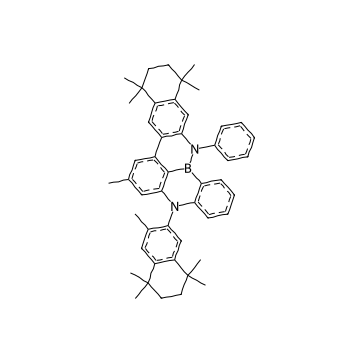 Cc1cc2c3c(c1)N(c1cc4c(cc1C)C(C)(C)CCC4(C)C)c1ccccc1B3N(c1ccccc1)c1cc3c(cc1-2)C(C)(C)CCC3(C)C